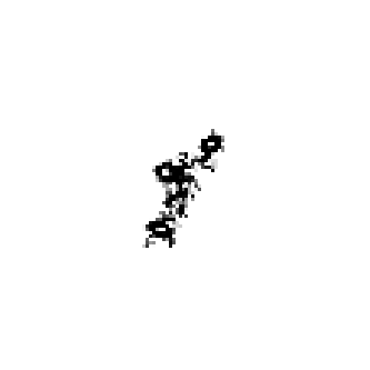 O=C(NCCc1ccccc1)c1c2ncnn(N3CCN(CCc4ccc(F)c(F)c4)CC3)c-2c2c1CCCC2